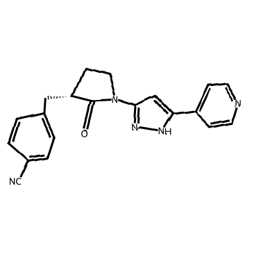 N#Cc1ccc(C[C@@H]2CCN(c3cc(-c4ccncc4)[nH]n3)C2=O)cc1